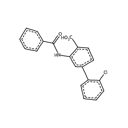 O=C(Nc1cc(-c2ccccc2Cl)ccc1C(=O)O)c1ccccc1